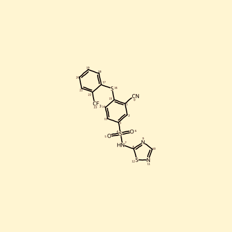 N#Cc1cc(S(=O)(=O)Nc2ncns2)ccc1Sc1ccccc1C(F)(F)F